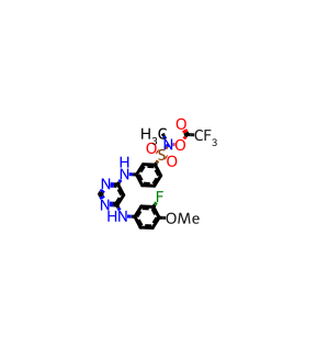 COc1ccc(Nc2cc(Nc3cccc(S(=O)(=O)N(C)OC(=O)C(F)(F)F)c3)ncn2)cc1F